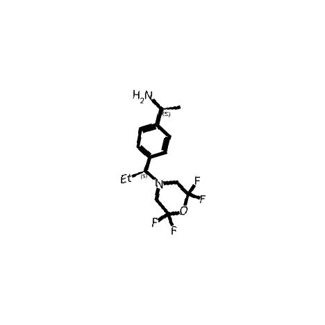 [CH2]C[C@@H](c1ccc([C@H](C)N)cc1)N1CC(F)(F)OC(F)(F)C1